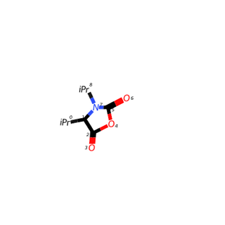 CC(C)C1C(=O)OC(=O)N1C(C)C